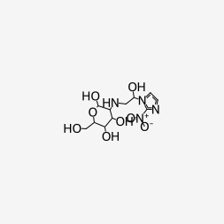 O=[N+]([O-])c1nccn1C(O)CNC1C(O)OC(CO)C(O)C1O